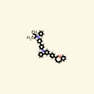 C=C/C=C(\C=C)N(C1=CCC(c2ccc(-n3c4ccccc4c4cc(-c5ccc(-c6ccccc7c(oc6)C=CCC7)cc5)ccc43)cc2)C=C1)c1ccccc1